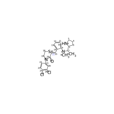 CC(C1CCCN1)N(C)c1ccccc1/C=C1\SCCN(c2ccc(Cl)c(Cl)c2)C1=O